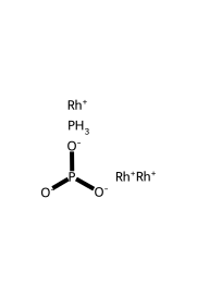 P.[O-]P([O-])[O-].[Rh+].[Rh+].[Rh+]